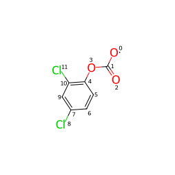 [O]C(=O)Oc1ccc(Cl)cc1Cl